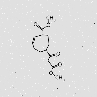 COC(=O)CC(=O)[C@H]1CCC=C[C@H](C(=O)OC)CC1